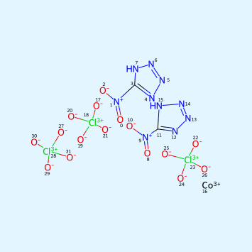 O=[N+]([O-])c1nnn[nH]1.O=[N+]([O-])c1nnn[nH]1.[Co+3].[O-][Cl+3]([O-])([O-])[O-].[O-][Cl+3]([O-])([O-])[O-].[O-][Cl+3]([O-])([O-])[O-]